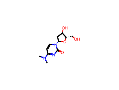 CN(C)c1ccn([C@@H]2C[C@@H](O)[C@H](CO)O2)c(=O)n1